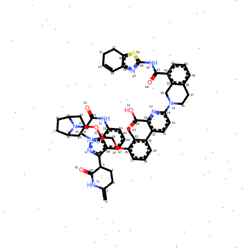 C=C1CCC(c2nn(C)c3c(NC(=O)CN4C5CCC4CC(OCCOc4cccc(-c6ccc(N7CCc8cccc(C(=O)Nc9nc%10c(s9)CCC=C%10)c8C7)nc6C(=O)O)c4C)C5)cccc23)C(=O)N1